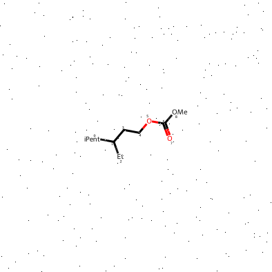 CCCC(C)C(CC)CCOC(=O)OC